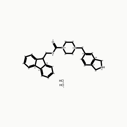 Cl.Cl.O=C(OCC1c2ccccc2-c2ccccc21)N1CCN(Cc2ccc3c(c2)CNC3)CC1